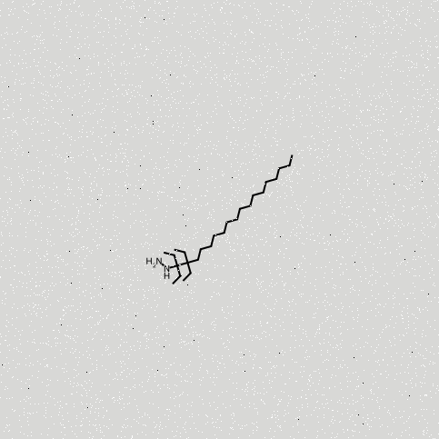 CCCCCCCCCCCCCCCCC(CC)(CC)C(CC)(CC)NN